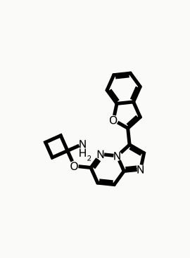 NC1(Oc2ccc3ncc(-c4cc5ccccc5o4)n3n2)CCC1